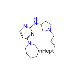 CCCCCCCC=CCN1CCC(Nc2nccc(N3CCCCCC3)n2)C1